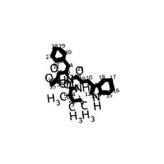 CCC(C)[C@@H](C)C(=O)NC(Cc1c[nH]c2ccccc12)C(=O)NC(Cc1ccccc1)C(=O)C1(C)CO1